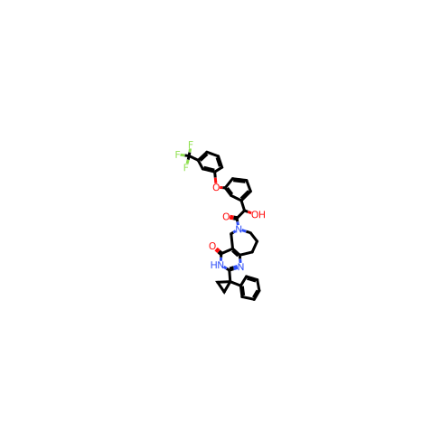 O=C(C(O)c1cccc(Oc2cccc(C(F)(F)F)c2)c1)N1CCCc2nc(C3(c4ccccc4)CC3)[nH]c(=O)c2C1